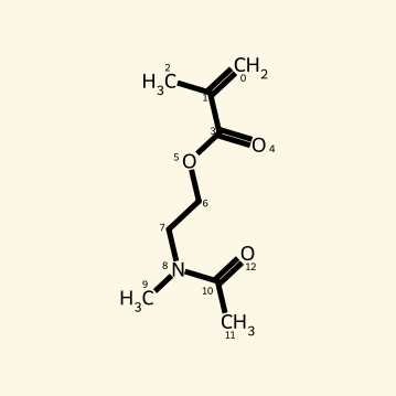 C=C(C)C(=O)OCCN(C)C(C)=O